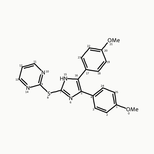 COc1ccc(-c2nc(Sc3ncccn3)[nH]c2-c2ccc(OC)cc2)cc1